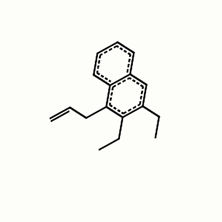 C=CCc1c(CC)c(CC)cc2ccccc12